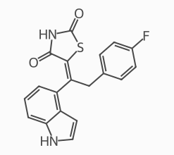 O=C1NC(=O)C(=C(Cc2ccc(F)cc2)c2cccc3[nH]ccc23)S1